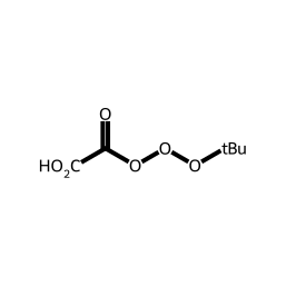 CC(C)(C)OOOC(=O)C(=O)O